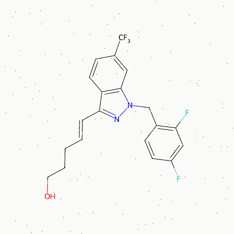 OCCC/C=C/c1nn(Cc2ccc(F)cc2F)c2cc(C(F)(F)F)ccc12